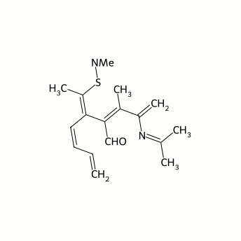 C=C\C=C/C(=C(\C)SNC)C(/C=O)=C(\C)C(=C)N=C(C)C